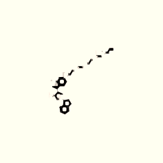 C=CC(=O)NCCOCCOCCOCCNc1ccc2c([C@H]3CN([C@H]4CCc5cccc(F)c54)C[C@@H]3N(C)C)cn(C)c2c1